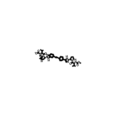 COC(=O)N[C@H](C(=O)N1CCC[C@H]1c1ncc(-c2ccc(C#Cc3ccc4nc([C@@H]5C[C@H]6C[C@H]6N5C(=O)[C@@H](NC(=O)OC)C(C)C)[nH]c4c3)cc2)[nH]1)C(C)C